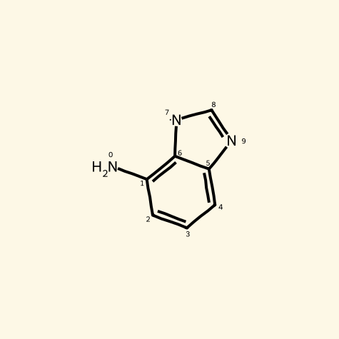 Nc1cccc2c1[N]C=N2